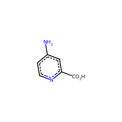 Nc1[c]c(C(=O)O)ncc1